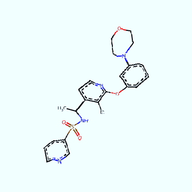 CCc1c(C(C)NS(=O)(=O)c2cccnc2)ccnc1Oc1cccc(N2CCOCC2)c1